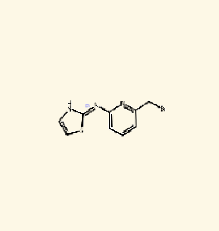 BrCc1cccc(/N=c2/[nH]ccs2)n1